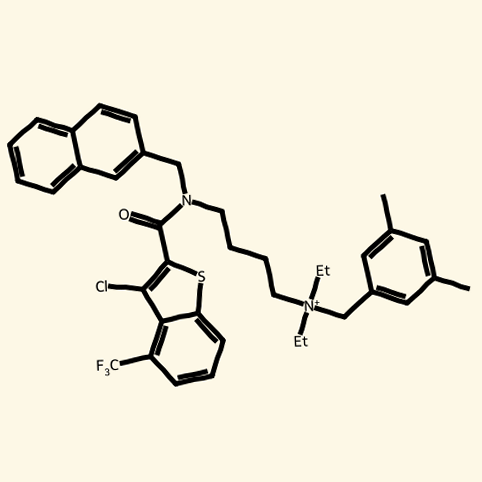 CC[N+](CC)(CCCCN(Cc1ccc2ccccc2c1)C(=O)c1sc2cccc(C(F)(F)F)c2c1Cl)Cc1cc(C)cc(C)c1